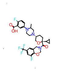 CC1CN([C@@H]2CC[C@@](C(=O)N3COc4c(F)cc(C(F)(F)F)cc4C3)(C3CC3)OC2)CCN1c1ccc(F)c(C(=O)O)c1